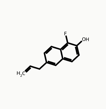 C=CCc1ccc2c(F)c(O)ccc2c1